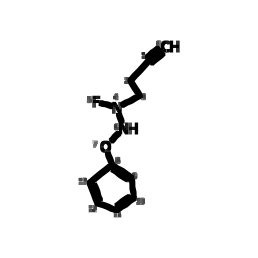 C#CCCN(F)NOc1ccccc1